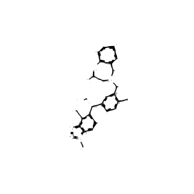 CCOC(=O)C[C@@H](c1ccc(C)c(CN2Cc3ccccc3OC(CC)C2)c1)c1ccc2c(nnn2C)c1C